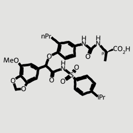 CCCc1cc(NC(=O)N[C@H](C)C(=O)O)ccc1OC(C(=O)NS(=O)(=O)c1ccc(C(C)C)cc1)c1cc(OC)c2c(c1)OCO2